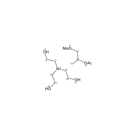 COCC(C)OC(C)=O.OCCN(CCO)CCO